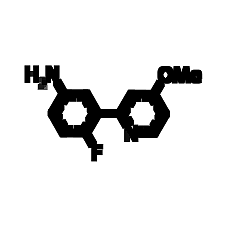 COc1ccnc(-c2cc(N)ccc2F)c1